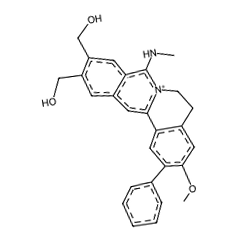 CNc1c2cc(CO)c(CO)cc2cc2[n+]1CCc1cc(OC)c(-c3ccccc3)cc1-2